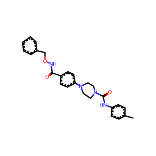 Cc1ccc(NC(=O)N2CCN(c3ccc(C(=O)NOCc4ccccc4)cc3)CC2)cc1